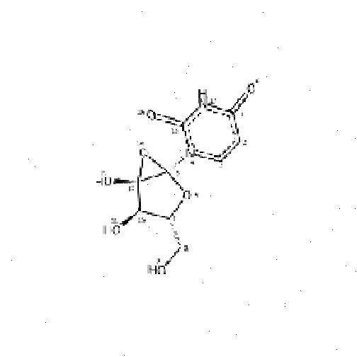 O=c1ccn([C@]23O[C@H](CO)[C@@H](O)[C@]2(O)O3)c(=O)[nH]1